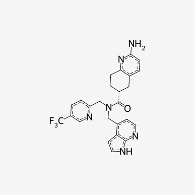 Nc1ccc2c(n1)CC[C@@H](C(=O)N(Cc1ccc(C(F)(F)F)cn1)Cc1ccnc3[nH]ccc13)C2